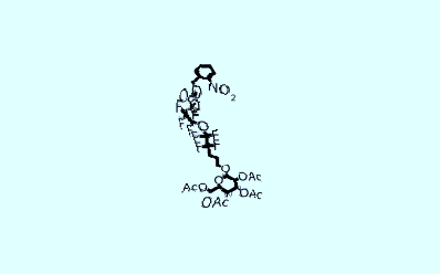 CC(=O)OCC1O[C@@H](OCCCC(F)(F)C(F)(F)OC(F)(F)C(F)(F)S(=O)(=O)OCc2ccccc2[N+](=O)[O-])C(OC(C)=O)[C@H](OC(C)=O)[C@@H]1OC(C)=O